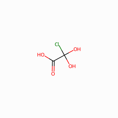 O=C(O)C(O)(O)Cl